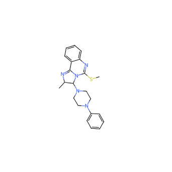 CSC1=Nc2ccccc2C2=NC(C)C(N3CCN(c4ccccc4)CC3)N12